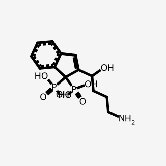 NCCCC(O)C1=Cc2ccccc2C1(P(=O)(O)O)P(=O)(O)O